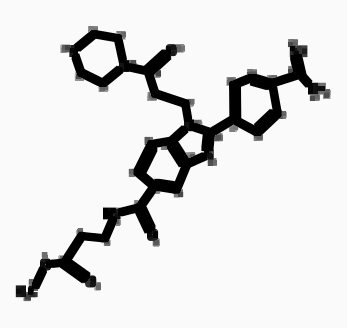 COC(=O)CCNC(=O)c1ccc2c(c1)nc(-c1ccc(C(=N)N)cc1)n2CCC(=O)N1CCSCC1